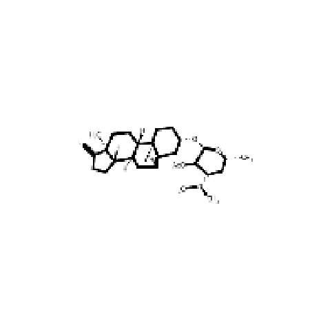 CC(=O)O[C@H]1[C@H](O[C@H]2CC[C@@]3(C)C(=CC[C@@H]4[C@@H]3CC[C@]3(C)C(=O)CC[C@@H]43)C2)O[C@H](C)C[C@@H]1N(C)C